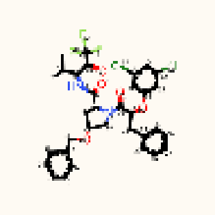 CC(C)C(NC(=O)[C@@H]1C[C@@H](OCc2ccccc2)CN1C(=O)C(Cc1ccccc1)Oc1cc(Cl)cc(Cl)c1)C(=O)C(F)(F)F